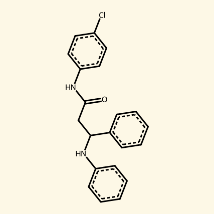 O=C(CC(Nc1ccccc1)c1ccccc1)Nc1ccc(Cl)cc1